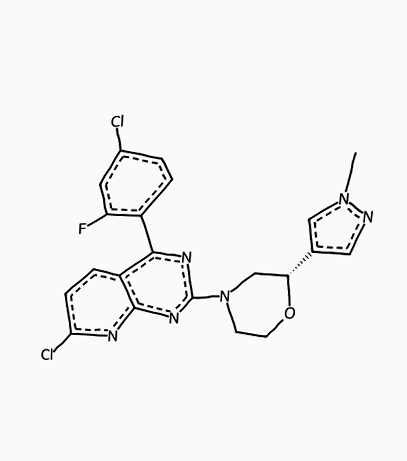 Cn1cc([C@H]2CN(c3nc(-c4ccc(Cl)cc4F)c4ccc(Cl)nc4n3)CCO2)cn1